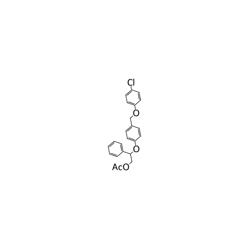 CC(=O)OCC(Oc1ccc(COc2ccc(Cl)cc2)cc1)c1ccccc1